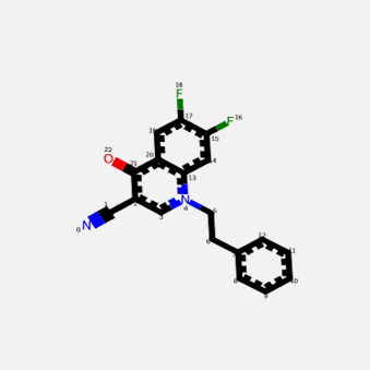 N#Cc1cn(CCc2ccccc2)c2cc(F)c(F)cc2c1=O